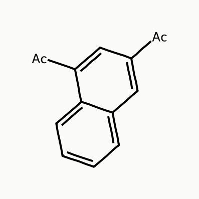 CC(=O)c1cc(C(C)=O)c2ccccc2c1